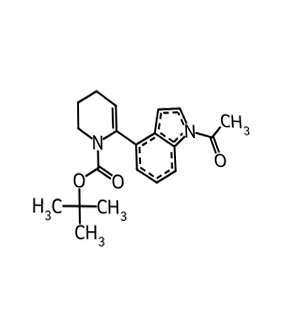 CC(=O)n1ccc2c(C3=CCCCN3C(=O)OC(C)(C)C)cccc21